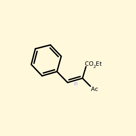 CCOC(=O)/C(=C\c1ccccc1)C(C)=O